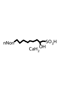 CCCCCCCCCCCCCCCCC(O)CS(=O)(=O)O.[CaH2]